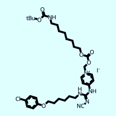 CC(C)(C)OC(=O)NCCCCCCCCOC(=O)OC[n+]1ccc(NC(=NC#N)NCCCCCCOc2ccc(Cl)cc2)cc1.[I-]